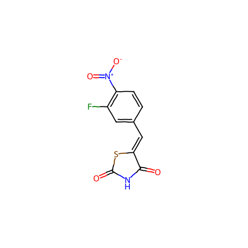 O=C1NC(=O)C(=Cc2ccc([N+](=O)[O-])c(F)c2)S1